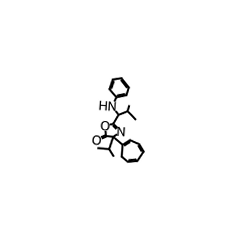 CC(C)C(Nc1ccccc1)C1=NC(C2=CC=CC=CC2)(C(C)C)C(=O)O1